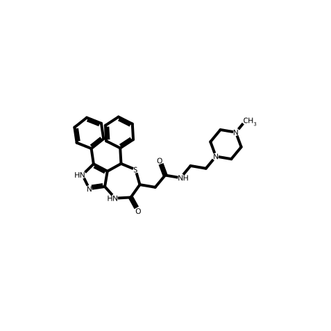 CN1CCN(CCNC(=O)CC2SC(c3ccccc3)c3c(n[nH]c3-c3ccccc3)NC2=O)CC1